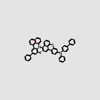 Fc1cc(-c2ccccc2)cc(-c2ccccc2)c1N(c1ccccc1)c1ccc2c3c(cccc13)Sc1cc(N(c3ccccc3)c3ccc(-c4ccccc4)cc3)ccc1-2